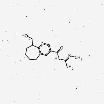 CN=C(N)NC(=O)c1cnc2c(c1)CCCCC2CO